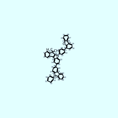 CC1(C)c2ccccc2-c2c1n(-c1ccc(-c3cccc4c3oc3ccccc34)cc1)c1ccc(-c3ccc4c(c3)c3ccccc3n4-c3ccccc3)cc21